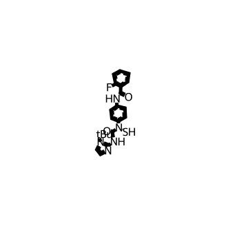 CC(C)(C)n1ccnc1NC(=O)N(S)c1ccc(NC(=O)c2ccccc2F)cc1